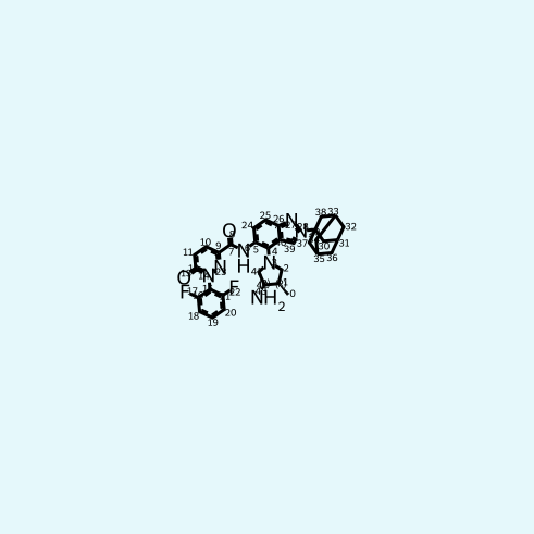 C[C@@H]1CN(c2c(NC(=O)c3ccc(=O)n(-c4c(F)cccc4F)n3)ccc3nn(C45CC6CC(CC(C6)C4)C5)cc23)C[C@@H]1N